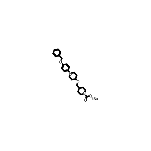 CC(C)(C)OC(=O)N1CCC(COC2CCN(c3ccc(OCc4ccccc4)cc3)CC2)CC1